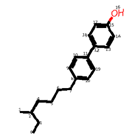 CCC(C)CCCCc1ccc(-c2ccc(O)cc2)cc1